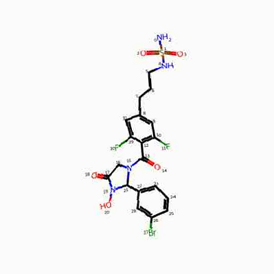 NS(=O)(=O)NCCCc1cc(F)c(C(=O)N2CC(=O)N(O)C2c2cccc(Br)c2)c(F)c1